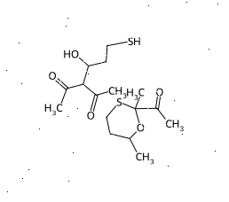 CC(=O)C(C(C)=O)C(O)CCS.CC(=O)C1(C)OC(C)CCS1